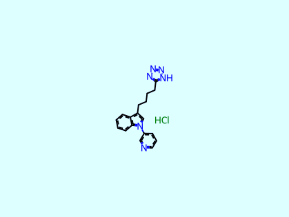 Cl.c1cncc(-n2cc(CCCCc3nnn[nH]3)c3ccccc32)c1